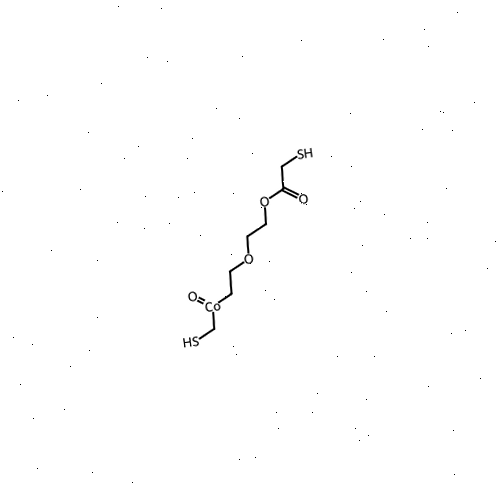 O=C(CS)OCCOC[CH2][Co](=[O])[CH2]S